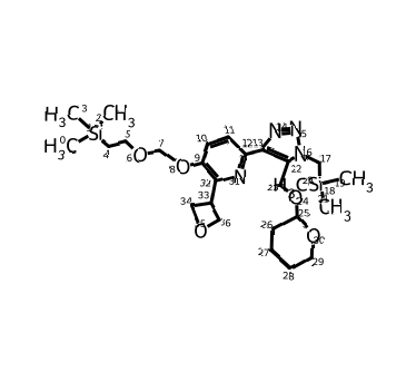 C[Si](C)(C)CCOCOc1ccc(-c2nnn(C[Si](C)(C)C)c2COC2CCCCO2)nc1C1COC1